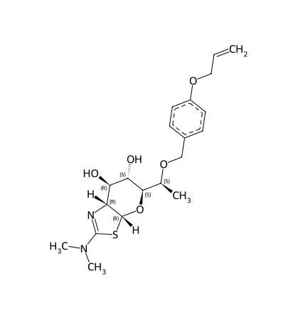 C=CCOc1ccc(CO[C@@H](C)[C@H]2O[C@@H]3SC(N(C)C)=N[C@@H]3[C@@H](O)[C@@H]2O)cc1